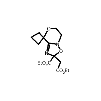 CCOC(=O)CC1(C(=O)OCC)N=C2N(CCOC23CCC3)O1